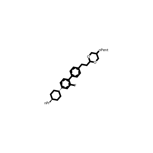 CCCCCC1COC(CCc2ccc(-c3ccc([C@H]4CC[C@H](CCC)CC4)cc3F)cc2)OC1